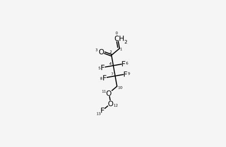 C=CC(=O)C(F)(F)C(F)(F)COOF